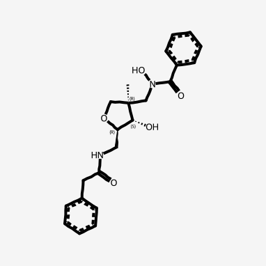 C[C@@]1(CN(O)C(=O)c2ccccc2)CO[C@H](CNC(=O)Cc2ccccc2)[C@H]1O